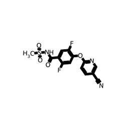 CS(=O)(=O)NC(=O)c1cc(F)c(Oc2ccc(C#N)cn2)cc1F